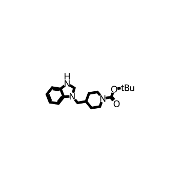 CC(C)(C)OC(=O)N1CCC(CN2CNc3ccccc32)CC1